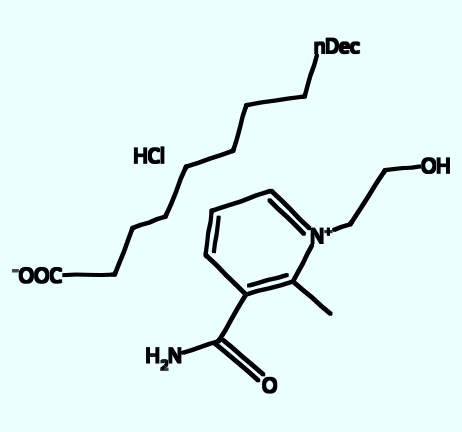 CCCCCCCCCCCCCCCCCC(=O)[O-].Cc1c(C(N)=O)ccc[n+]1CCO.Cl